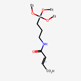 CCO[Si](CCCNC(=O)/C=C/C(=O)O)(OCC)OCC